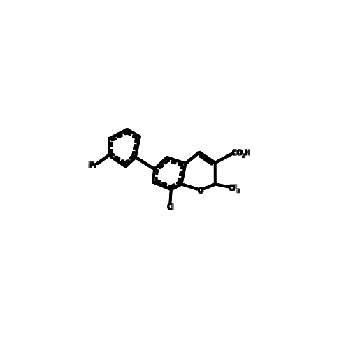 CC(C)c1cccc(-c2cc(Cl)c3c(c2)C=C(C(=O)O)C(C(F)(F)F)O3)c1